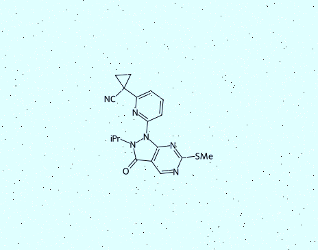 CSc1ncc2c(=O)n(C(C)C)n(-c3cccc(C4(C#N)CC4)n3)c2n1